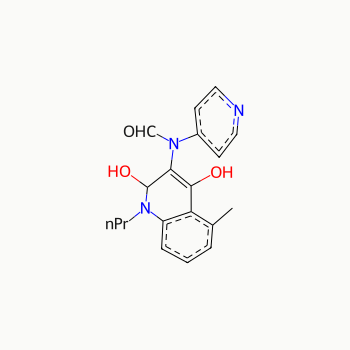 CCCN1c2cccc(C)c2C(O)=C(N(C=O)c2ccncc2)C1O